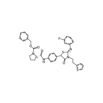 O=C(Nc1ccc(C2S/C(=N\c3cccc(F)c3)N(CCc3cccs3)C2=O)cc1)[C@@H]1CCCN1C(=O)OCc1ccccc1